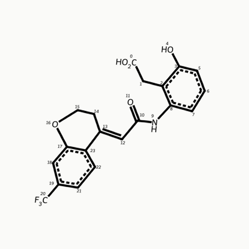 O=C(O)Cc1c(O)cccc1NC(=O)/C=C1\CCOc2cc(C(F)(F)F)ccc21